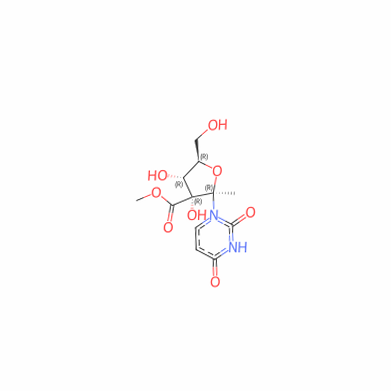 COC(=O)[C@@]1(O)[C@H](O)[C@@H](CO)O[C@@]1(C)n1ccc(=O)[nH]c1=O